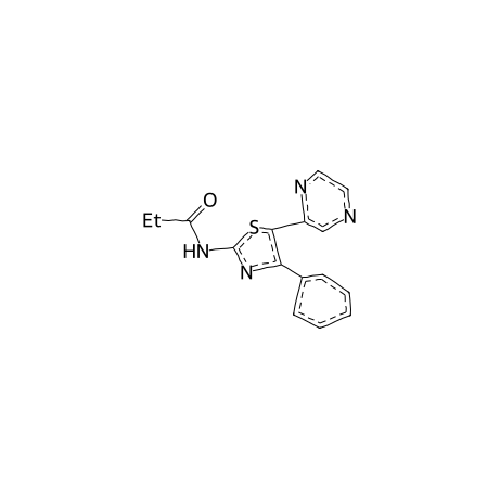 CCC(=O)Nc1nc(-c2ccccc2)c(-c2cnccn2)s1